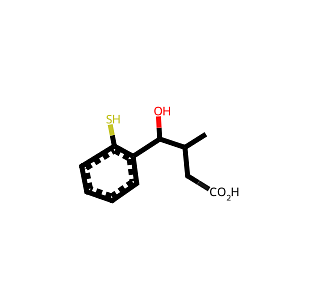 CC(CC(=O)O)C(O)c1ccccc1S